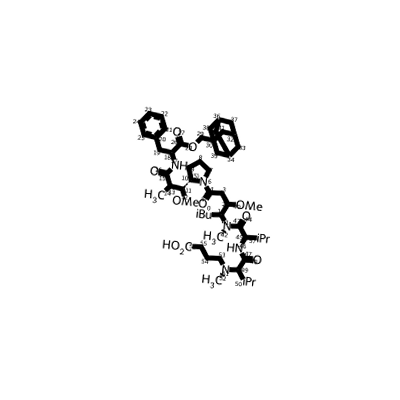 CCC(C)C(C(CC(=O)N1CCC[C@H]1C(OC)C(C)C(=O)NC(Cc1ccccc1)C(=O)OCC12CC3CC(CC(C3)C1)C2)OC)N(C)C(=O)C(NC(=O)C(C(C)C)N(C)CCCC(=O)O)C(C)C